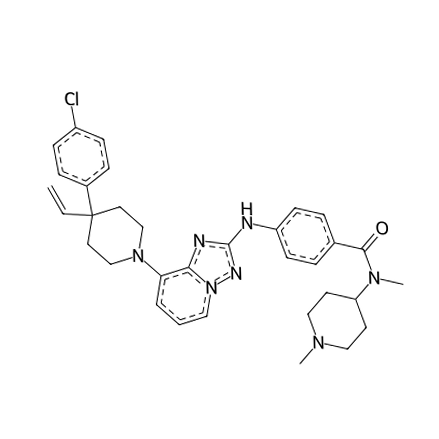 C=CC1(c2ccc(Cl)cc2)CCN(c2cccn3nc(Nc4ccc(C(=O)N(C)C5CCN(C)CC5)cc4)nc23)CC1